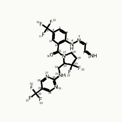 N=C/C=N\Nc1ccc(C(F)(F)F)cc1C(=O)N1CCC(F)(F)C1CNc1ncc(C(F)(F)F)cn1